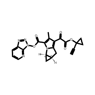 C#CC1(OC(=O)C(=O)c2c(C)c(C(=O)On3nnc4cccnc43)n3c2C[C@H]2C[C@H]23)CC1